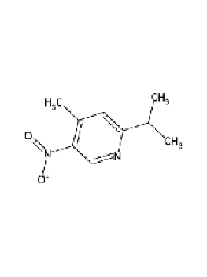 Cc1cc(C(C)C)ncc1[N+](=O)[O-]